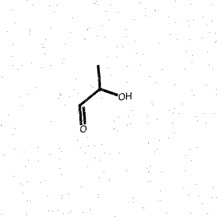 C[C](O)C=O